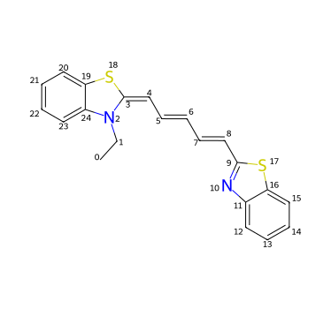 CCN1\C(=C/C=C/C=C/c2nc3ccccc3s2)Sc2ccccc21